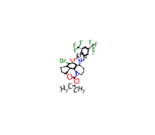 CC(=O)N(Cc1cc(C(F)(F)F)cc(C(F)(F)F)c1)C1CCCN(C(=O)OC(C)C)c2c1cc(Br)c1c2CCC1